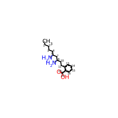 CCCCCC(N)CC(N)CCc1ccccc1C(=O)O